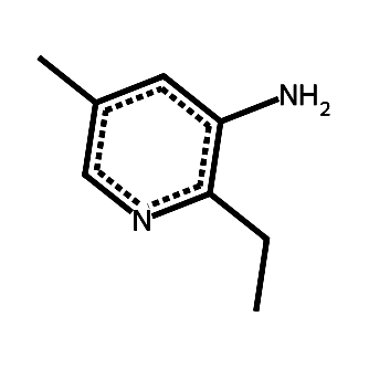 CCc1ncc(C)cc1N